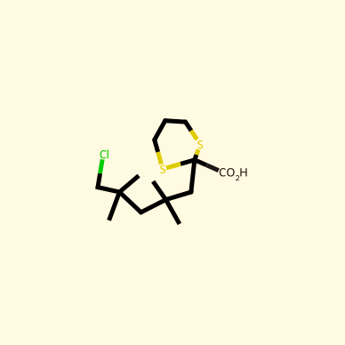 CC(C)(CCl)CC(C)(C)CC1(C(=O)O)SCCCS1